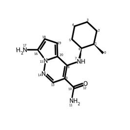 C[C@@H]1CCCC[C@@H]1Nc1c(C(N)=O)cnn2c(N)ccc12